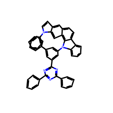 c1ccc(-c2cc(-c3nc(-c4ccccc4)nc(-c4ccccc4)n3)cc(-n3c4ccccc4c4ccc5cc6ccn(-c7ccccc7)c6cc5c43)c2)cc1